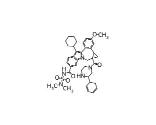 COc1ccc2c(c1)C1CC1(C(=O)N1CCNC(C3C=CC=CC3)C1)Cn1c-2c(C2CCCCC2)c2ccc(C(=O)NS(=O)(=O)N(C)C)cc21